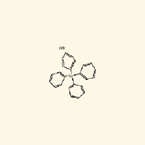 Br.c1cc[c]([SbH]([c]2ccccc2)([c]2ccccc2)[c]2ccccc2)cc1